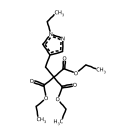 CCOC(=O)C(Cc1cnn(CC)c1)(C(=O)OCC)C(=O)OCC